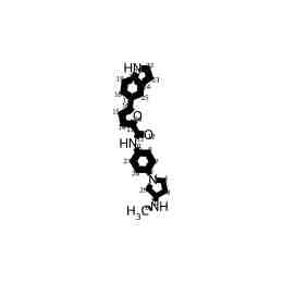 CNC1CCN(c2ccc(NC(=O)c3ccc(-c4ccc5[nH]ccc5c4)o3)cc2)C1